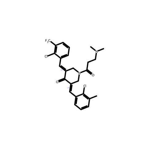 Cc1cccc(/C=C2\CN(C(=O)CCN(C)C)C/C(=C\c3cccc(C(F)(F)F)c3Cl)C2=O)c1Cl